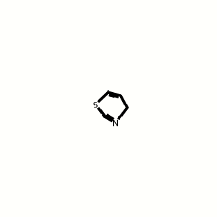 [C]1=CCN=CS1